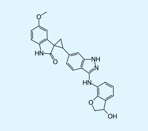 COc1ccc2c(c1)C1(CC1c1ccc3c(Nc4cccc5c4OCC5O)n[nH]c3c1)C(=O)N2